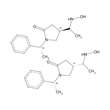 CC(NO)[C@@H]1CC(=O)N([C@H](C)c2ccccc2)C1.CC(NO)[C@H]1CC(=O)N([C@H](C)c2ccccc2)C1